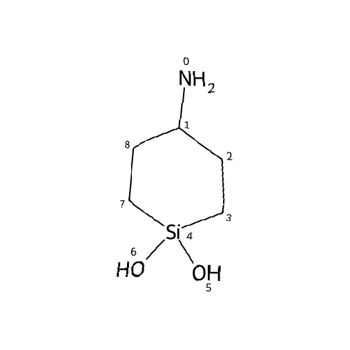 NC1CC[Si](O)(O)CC1